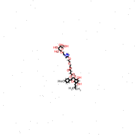 COc1ccc(-c2oc3c(CC=C(C)C)c(O)cc(O)c3c(=O)c2OC(=O)CCC(=O)OCCOCCOc2cn(CCO[C@H]3O[C@@H](CO)[C@H](O)[C@@H](O)[C@@H]3O)nn2)cc1